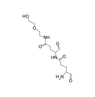 NC(C=O)CCC(=O)NC(C=O)CCC(=O)NCCOCCO